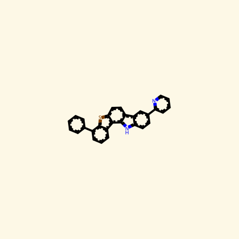 c1ccc(-c2cccc3c2sc2ccc4c5cc(-c6ccccn6)ccc5[nH]c4c23)cc1